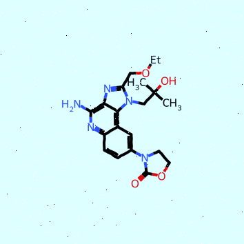 CCOCc1nc2c(N)nc3ccc(N4CCOC4=O)cc3c2n1CC(C)(C)O